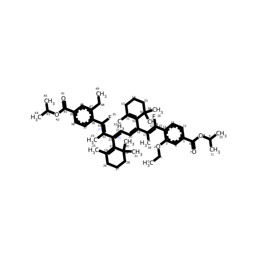 CCOc1cc(C(=O)OC(C)C)ccc1C(F)=C(C)C(=C/C=C(C1=C(C)CCCC1(C)C)/C(C)=C(\F)c1ccc(C(=O)OC(C)C)cc1CC)C1=C(C)CCCC1(C)C